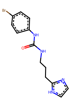 O=C(NCCCc1ncc[nH]1)Nc1ccc(Br)cc1